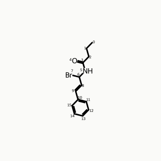 CCCC(=O)NC(Br)/C=C/c1ccccc1